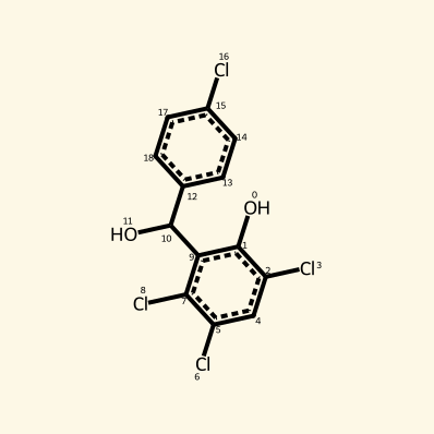 Oc1c(Cl)cc(Cl)c(Cl)c1C(O)c1ccc(Cl)cc1